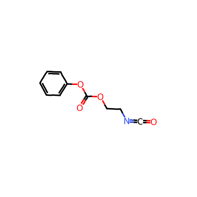 O=C=NCCOC(=O)Oc1ccccc1